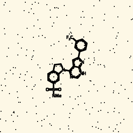 CNS(=O)(=O)c1ccc2c(c1)N(c1nc[nH]c3nc(-c4cccc(C(F)(F)F)c4)cc1-3)CC2